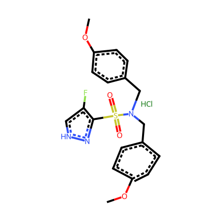 COc1ccc(CN(Cc2ccc(OC)cc2)S(=O)(=O)c2n[nH]cc2F)cc1.Cl